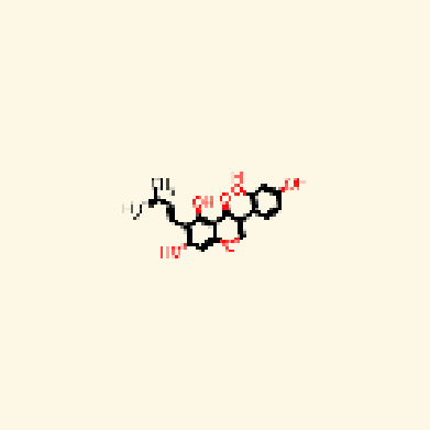 C=C(C)C=Cc1c(O)cc2occ(-c3ccc(O)cc3O)c(=O)c2c1O